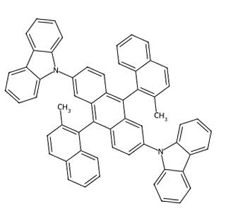 Cc1ccc2ccccc2c1-c1c2ccc(-n3c4ccccc4c4ccccc43)cc2c(-c2c(C)ccc3ccccc23)c2ccc(-n3c4ccccc4c4ccccc43)cc12